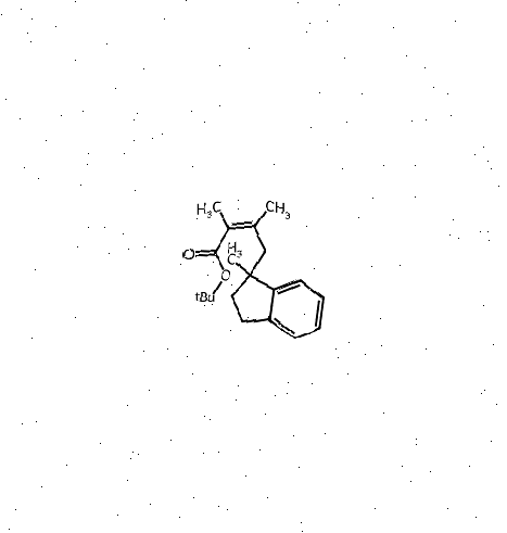 CC(CC1(C)CCc2ccccc21)=C(C)C(=O)OC(C)(C)C